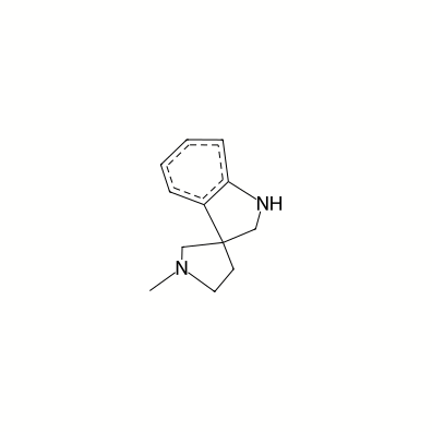 CN1CCC2(CNc3ccccc32)C1